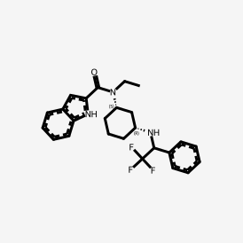 CCN(C(=O)c1cc2ccccc2[nH]1)[C@H]1CCC[C@@H](NC(c2ccccc2)C(F)(F)F)C1